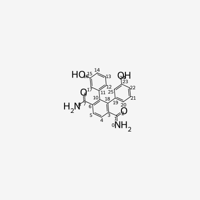 NC(=O)c1ccc(C(N)=O)c(-c2cccc(O)c2)c1-c1cccc(O)c1